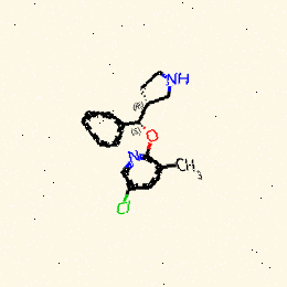 Cc1cc(Cl)cnc1O[C@H](c1ccccc1)[C@@H]1CCNC1